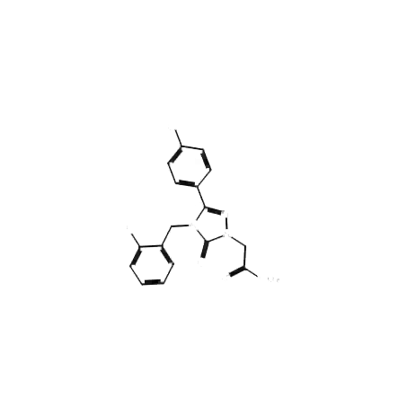 COC(=O)Cn1nc(-c2ccc(Cl)cc2)n(Cc2ccccc2F)c1=O